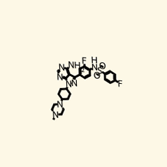 CN1CCN(C2CCC(n3nc(-c4ccc(NS(=O)(=O)c5ccc(F)cc5)c(F)c4)c4c(N)ncnc43)CC2)CC1